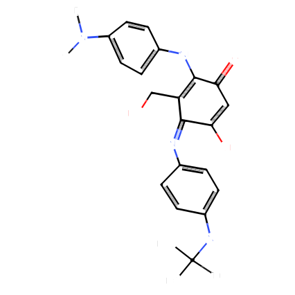 CCN(c1ccc(NC2=C(CO)C(=Nc3ccc(NC(C)(C)CC)cc3)C(O)=CC2=O)cc1)C(C)C